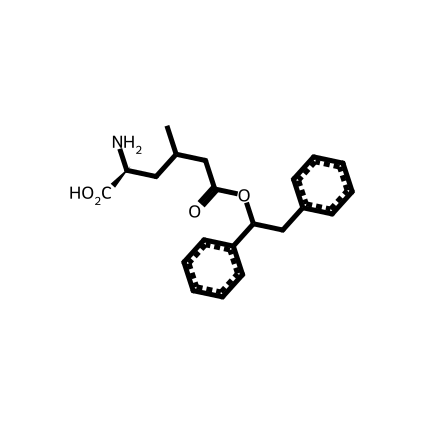 CC(CC(=O)OC(Cc1ccccc1)c1ccccc1)C[C@H](N)C(=O)O